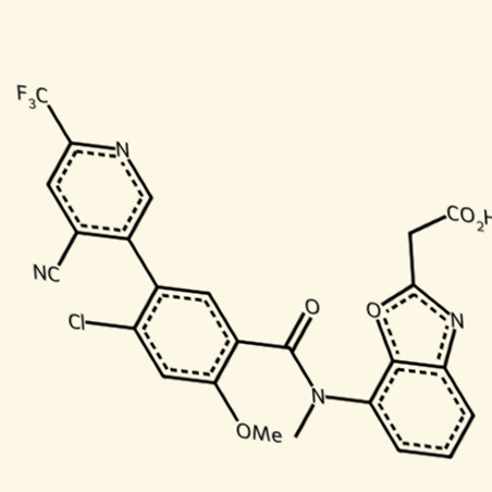 COc1cc(Cl)c(-c2cnc(C(F)(F)F)cc2C#N)cc1C(=O)N(C)c1cccc2nc(CC(=O)O)oc12